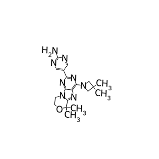 CC1(C)CN(c2nc(-c3cnc(N)nc3)nc3c2nc2n3CCOC2(C)C)C1